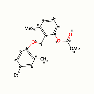 CCc1ccc(OCc2c(OC(=O)OC)cccc2SC)c(C)c1